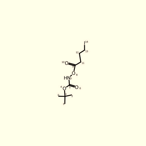 CC(C)(C)OC(=O)NOC(=O)CCCI